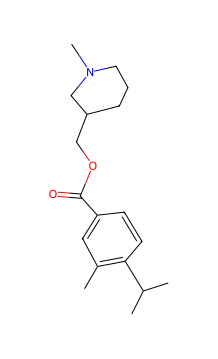 Cc1cc(C(=O)OCC2CCCN(C)C2)ccc1C(C)C